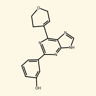 Oc1cccc(-c2nc(C3=CCOCC3)c3nc[nH]c3n2)c1